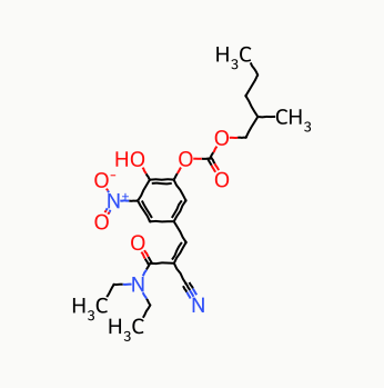 CCCC(C)COC(=O)Oc1cc(C=C(C#N)C(=O)N(CC)CC)cc([N+](=O)[O-])c1O